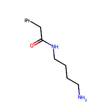 CC(C)CC(=O)NCCCCN